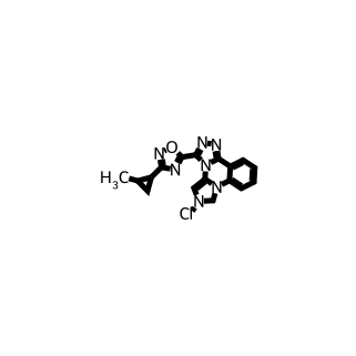 CC1CC1c1noc(-c2nnc3n2C2=CN(Cl)CN2c2ccccc2-3)n1